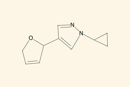 C1=CC(c2cnn(C3CC3)c2)OC1